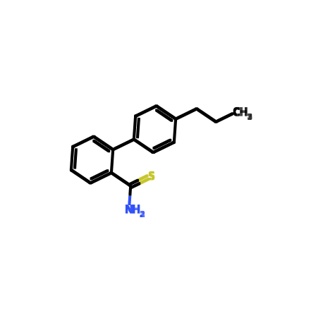 CCCc1ccc(-c2ccccc2C(N)=S)cc1